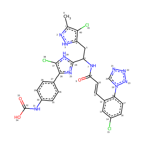 Cc1n[nH]c(CC(NC(=O)/C=C/c2cc(Cl)ccc2-n2cnnn2)c2nc(-c3ccc(NC(=O)O)cc3)c(Cl)[nH]2)c1Cl